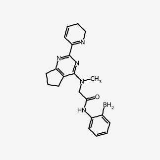 Bc1ccccc1NC(=O)CN(C)c1nc(C2=NCCC=C2)nc2c1CCC2